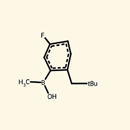 CB(O)c1cc(F)ccc1CC(C)(C)C